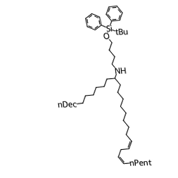 CCCCC/C=C\C/C=C\CCCCCCCCC(CCCCCCCCCCCCCCCC)NCCCCO[Si](c1ccccc1)(c1ccccc1)C(C)(C)C